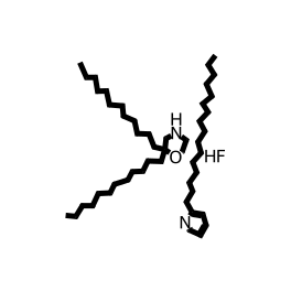 CCCCCCCCCCCCC1(CCCCCCCCCCCC)CNCCO1.CCCCCCCCCCCCCCCCc1ccccn1.F